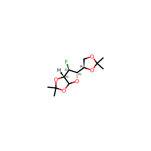 CC1(C)OC[C@H]([C@@H]2OC3OC(C)(C)O[C@@H]3[C@H]2F)O1